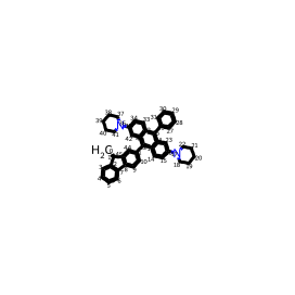 C=C1c2ccccc2-c2ccc(-c3c4ccc(N5CCCCC5)cc4c(-c4ccccc4)c4ccc(N5CCCCC5)cc34)cc21